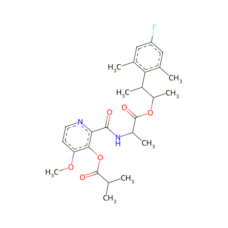 COc1ccnc(C(=O)NC(C)C(=O)OC(C)C(C)c2c(C)cc(F)cc2C)c1OC(=O)C(C)C